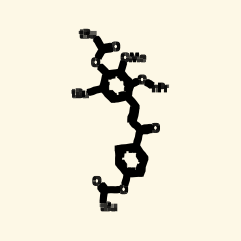 CCCOc1c(C=CC(=O)c2ccc(OC(=O)C(C)(C)C)cc2)cc(C(C)(C)C)c(OC(=O)C(C)(C)C)c1OC